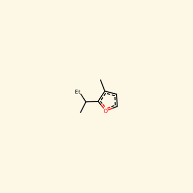 CCC(C)c1occc1C